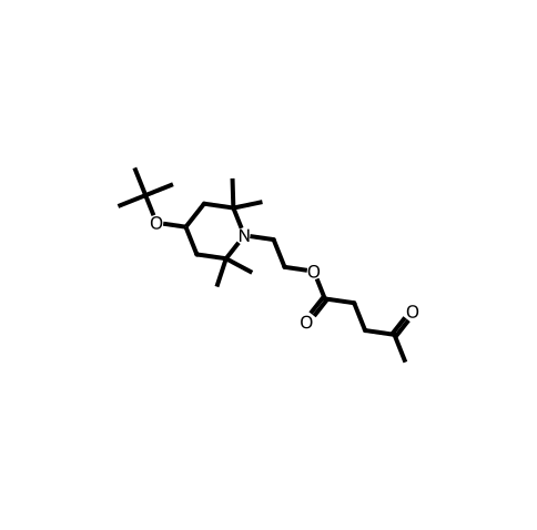 CC(=O)CCC(=O)OCCN1C(C)(C)CC(OC(C)(C)C)CC1(C)C